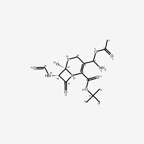 CC(=O)OC(N)C1=C(C(=O)OC(C)(C)C)N2C(=O)[C@H](NC=O)[C@H]2SC1